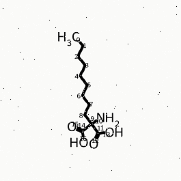 CCCCCCCCCC(N)(C(=O)O)C(=O)O